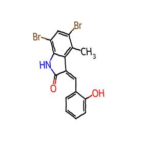 Cc1c(Br)cc(Br)c2c1C(=Cc1ccccc1O)C(=O)N2